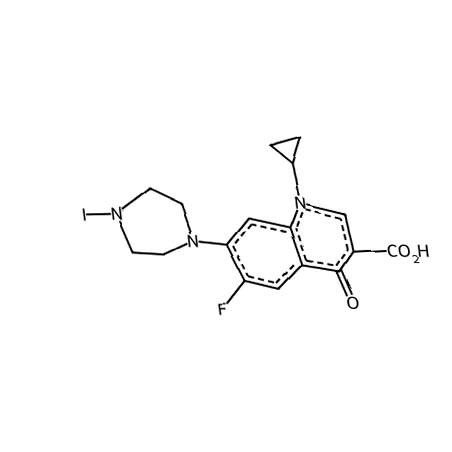 O=C(O)c1cn(C2CC2)c2cc(N3CCN(I)CC3)c(F)cc2c1=O